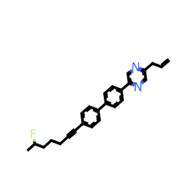 C=CCc1cnc(-c2ccc(-c3ccc(C#CCCCC(C)F)cc3)cc2)cn1